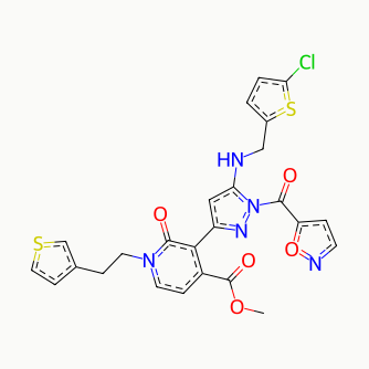 COC(=O)c1ccn(CCc2ccsc2)c(=O)c1-c1cc(NCc2ccc(Cl)s2)n(C(=O)c2ccno2)n1